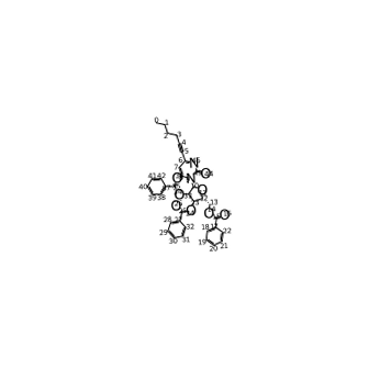 CCCCC#Cc1ccn([C@@H]2O[C@H](COC(=O)c3ccccc3)[C@@H](OC(=O)c3ccccc3)[C@H]2OC(=O)c2ccccc2)c(=O)n1